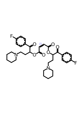 O=C(/C=C\C(=O)OC(CCN1CCCCC1)C(=O)c1ccc(F)cc1)OC(CCN1CCCCC1)C(=O)c1ccc(F)cc1